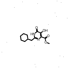 COC(=O)c1nc(CC2CCCCC2)[nH]c(=O)c1O